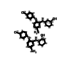 Nc1ncc(Oc2ccc(Cl)cc2)c(N[C@@H]2CCCC[C@H]2O)n1.Nc1ncc(Oc2ccc(Cl)cc2)c(N[C@H]2CCC[C@H](O)C2)n1